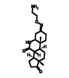 C[C@]12CC/C(=N/OCCN)CC1NC(=O)[C@@H]1[C@@H]2CC[C@]2(C)C(=O)CC[C@@H]12